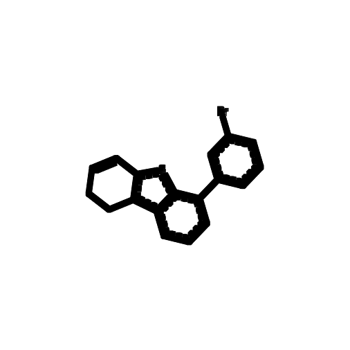 Brc1cccc(-c2cccc3c4c(sc23)C=CCC4)c1